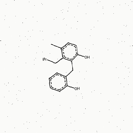 Cc1ccc(O)c(Cc2ccccc2O)c1CC(C)C